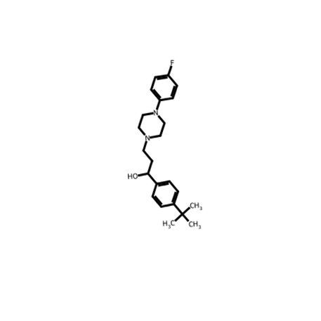 CC(C)(C)c1ccc(C(O)CCN2CCN(c3ccc(F)cc3)CC2)cc1